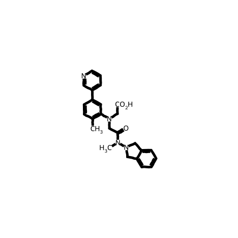 Cc1ccc(-c2cccnc2)cc1N(CC(=O)O)CC(=O)N(C)N1Cc2ccccc2C1